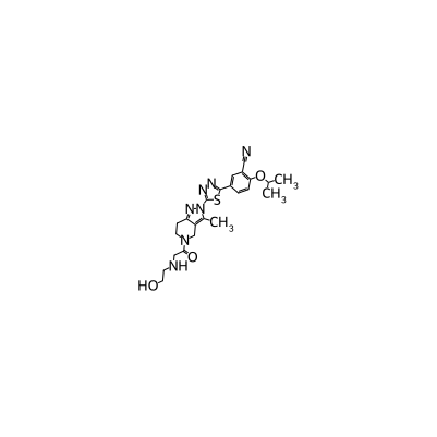 Cc1c2c(nn1-c1nnc(-c3ccc(OC(C)C)c(C#N)c3)s1)CCN(C(=O)CNCCO)C2